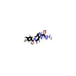 Cc1ccc(C(=O)N2CCc3nc(C(N)=O)ncc3C2)cc1F